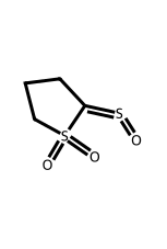 O=S=C1CCCS1(=O)=O